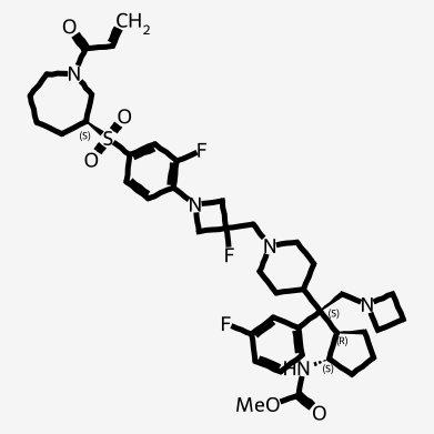 C=CC(=O)N1CCCC[C@H](S(=O)(=O)c2ccc(N3CC(F)(CN4CCC([C@@](CN5CCC5)(c5cccc(F)c5)[C@H]5CCC[C@@H]5NC(=O)OC)CC4)C3)c(F)c2)C1